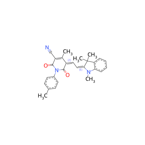 CC1=C(C#N)C(=O)N(c2ccc(C)cc2)C(=O)/C1=C\C=C1\N(C)c2ccccc2C1(C)C